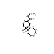 N=C(/N=C\N)C1=CC=CC(Br)(C2(F)CCCCCCC2)C=C1